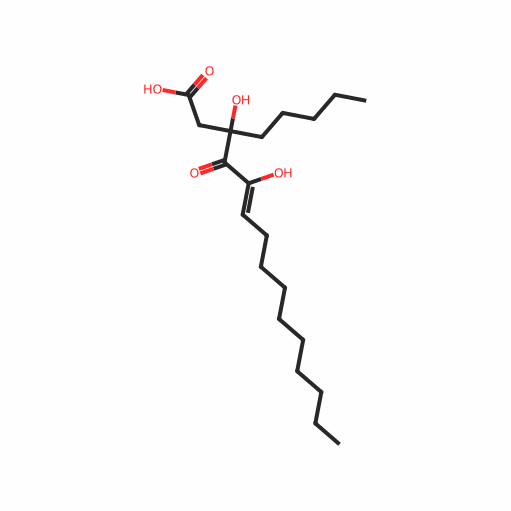 CCCCCCCCC/C=C(\O)C(=O)C(O)(CCCCC)CC(=O)O